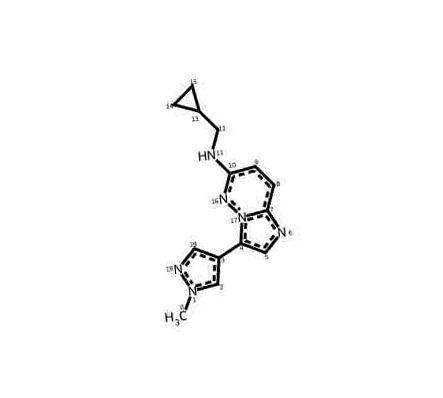 Cn1cc(-c2cnc3ccc(NCC4CC4)nn23)cn1